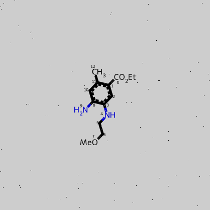 CCOC(=O)c1cc(NCCOC)c(N)cc1C